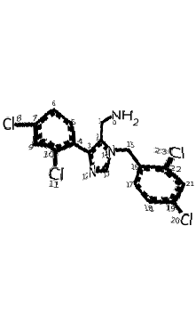 NCc1c(-c2ccc(Cl)cc2Cl)ncn1Cc1ccc(Cl)cc1Cl